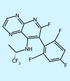 C[C@H](Nc1c(-c2c(F)cc(F)cc2F)c(F)nc2nccnc12)C(F)(F)F